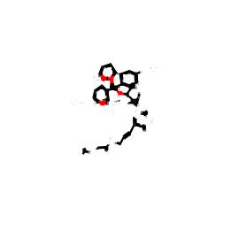 COc1ccc(C(CC23COC([C@H](n4cc(C#CCNC(=O)CNC(=O)C(F)(F)F)c(=O)[nH]c4=O)O2)[C@H]3OP(OCCC#N)N(C(C)C)C(C)C)(c2ccccc2)c2ccc(OC)cc2)cc1